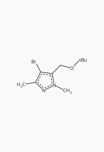 CCCCOCc1c(Br)c(C)nn1C